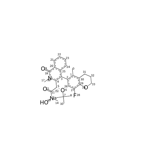 Cc1c(-c2c([C@H](OC(C)(C)C)C(=O)N(C)O)n(C)c(=O)c3ccccc23)cc(F)c2c1CCCO2